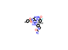 COc1cc2c(cc1Nc1nc(Nc3cccc(F)c3C(N)=O)c3c(C)cn(S(=O)(=O)c4ccc(C)cc4)c3n1)N(C(=O)CN(C)C)CC2